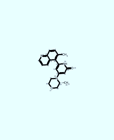 Cc1ccc2ncccc2c1-c1cc(N2CCOC[C@H]2C)cc(=O)[nH]1